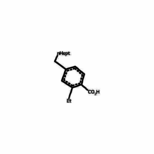 CCCCCCCCc1ccc(C(=O)O)c(CC)c1